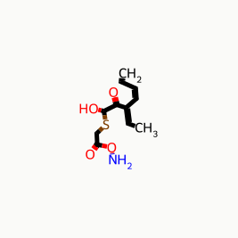 C=C/C=C\C(=C/C)C(=O)C(O)SCC(=O)ON